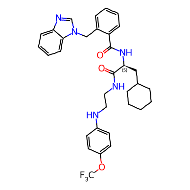 O=C(N[C@@H](CC1CCCCC1)C(=O)NCCNc1ccc(OC(F)(F)F)cc1)c1ccccc1Cn1cnc2ccccc21